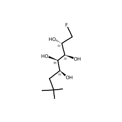 CC(C)(C)C[C@H](O)[C@@H](O)[C@H](O)[C@H](O)CF